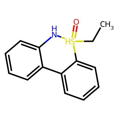 CC[SH]1(=O)Nc2ccccc2-c2ccccc21